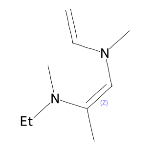 C=CN(C)/C=C(/C)N(C)CC